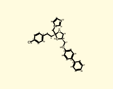 Clc1ccc(CC[C@@]2(Cn3ccnc3)OC[C@@H](COc3ccc(-c4ccccc4)cc3)O2)cc1